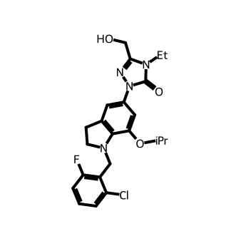 CCn1c(CO)nn(-c2cc3c(c(OC(C)C)c2)N(Cc2c(F)cccc2Cl)CC3)c1=O